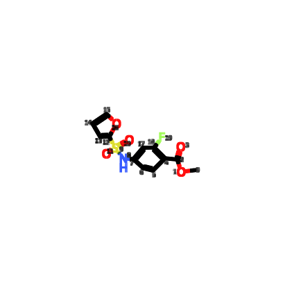 COC(=O)c1ccc(NS(=O)(=O)c2ccco2)cc1F